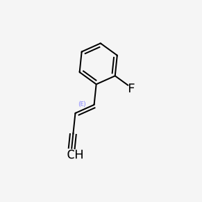 C#C/C=C/c1ccccc1F